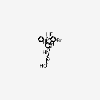 OCCOCCNC[C@H]1CC[C@@H]2[C@H](O1)c1cc(Br)cc(F)c1N[C@H]2c1ccccc1